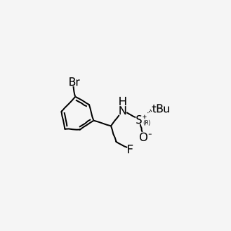 CC(C)(C)[S@+]([O-])NC(CF)c1cccc(Br)c1